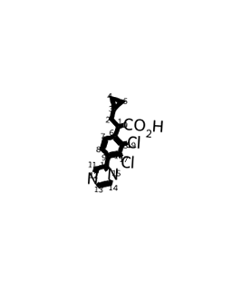 O=C(O)C(CC1CC1)c1ccc(-c2cnccn2)c(Cl)c1Cl